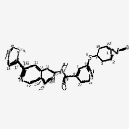 CN1CCC(Sc2cc(C(=O)Nc3cc4cc(-c5cncs5)ncc4cn3)ccn2)CC1